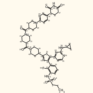 CCCS(=O)(=O)Nc1cccc(-c2nc(C3CCN(C(=O)C4CCN(C(=O)C5CCN(c6ccc([C@@H]7CCC(=O)NC7=O)cn6)CC5)CC4)CC3)sc2-c2ccnc(NC3CC3)n2)c1F